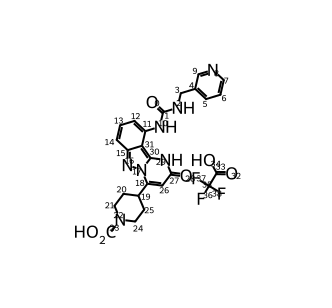 O=C(NCc1cccnc1)Nc1cccc2nn3c(C4CCN(C(=O)O)CC4)cc(=O)[nH]c3c12.O=C(O)C(F)(F)F